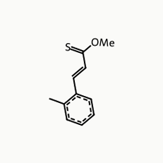 COC(=S)/C=C/c1ccccc1C